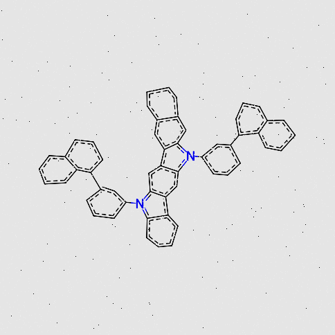 c1cc(-c2cccc3ccccc23)cc(-n2c3ccccc3c3cc4c(cc32)c2cc3ccccc3cc2n4-c2cccc(-c3cccc4ccccc34)c2)c1